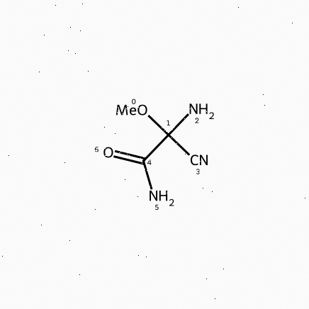 COC(N)(C#N)C(N)=O